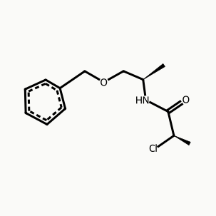 C[C@H](COCc1ccccc1)NC(=O)[C@@H](C)Cl